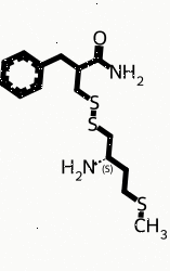 CSCC[C@H](N)CSSCC(Cc1ccccc1)C(N)=O